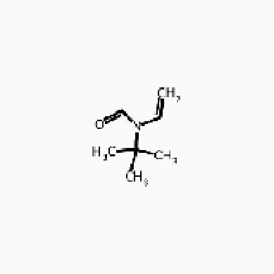 C=CN(C=O)C(C)(C)C